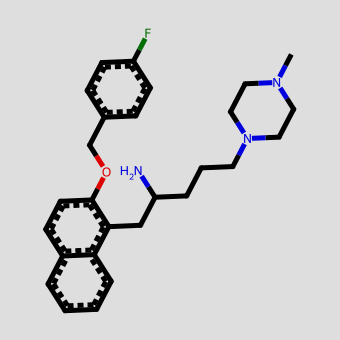 CN1CCN(CCCC(N)Cc2c(OCc3ccc(F)cc3)ccc3ccccc23)CC1